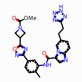 COC(=O)N1CC(c2nc(-c3ccc(C)c(NC(=O)c4cnc5ccc(CCc6nn[nH]n6)cn45)c3)no2)C1